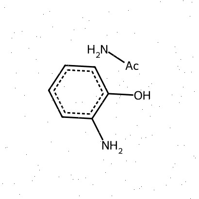 CC(N)=O.Nc1ccccc1O